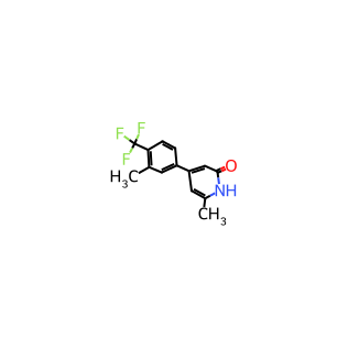 Cc1cc(-c2ccc(C(F)(F)F)c(C)c2)cc(=O)[nH]1